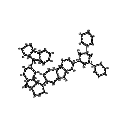 c1ccc(-c2nc(-c3ccccc3)nc(-c3ccc4c(c3)sc3cc(-c5cccc6oc7ccc(-n8c9ccccc9c9ccccc98)cc7c56)ccc34)n2)cc1